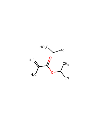 C=C(C)C(=O)OC(C)C#N.CC(=O)CC(=O)O